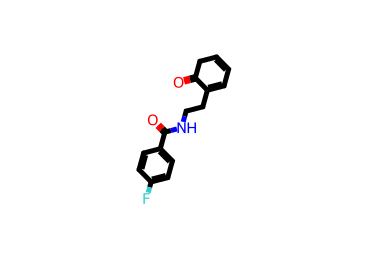 O=C1CC=CC=C1CCNC(=O)c1ccc(F)cc1